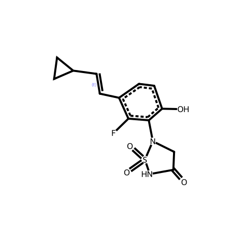 O=C1CN(c2c(O)ccc(/C=C/C3CC3)c2F)S(=O)(=O)N1